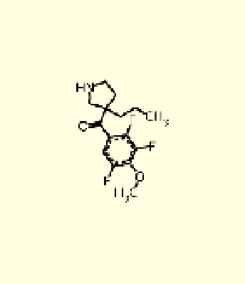 CCCC1(C(=O)c2cc(F)c(OC)c(F)c2F)CCNC1